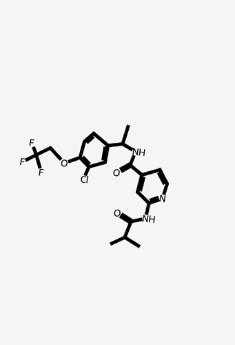 CC(C)C(=O)Nc1cc(C(=O)NC(C)c2ccc(OCC(F)(F)F)c(Cl)c2)ccn1